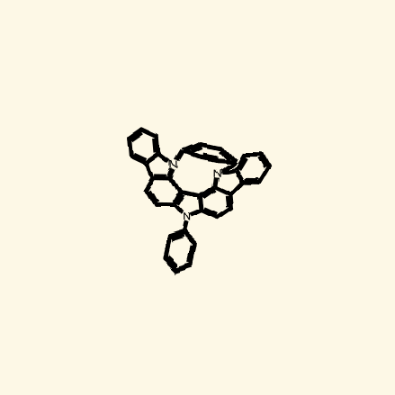 c1ccc(-n2c3ccc4c5ccccc5n5c6ccc(cc6)n6c7ccccc7c7ccc2c(c3c45)c76)cc1